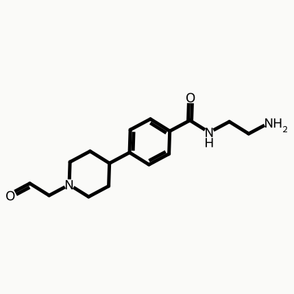 NCCNC(=O)c1ccc(C2CCN(CC=O)CC2)cc1